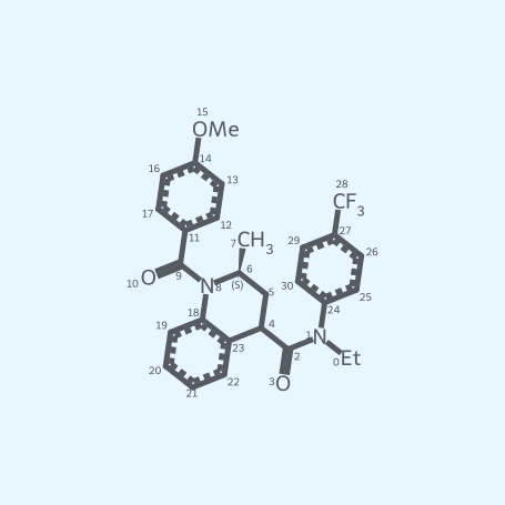 CCN(C(=O)C1C[C@H](C)N(C(=O)c2ccc(OC)cc2)c2ccccc21)c1ccc(C(F)(F)F)cc1